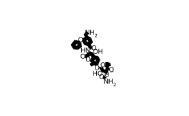 CO[C@@H]1[C@@H](OC(N)=O)[C@@H](O)[C@H](Oc2ccc3c(O)c(NC(=O)c4ccc(CN)c(Oc5ccccc5)c4)c(=O)oc3c2C)OC1(C)C